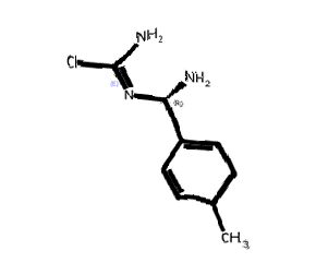 CC1C=CC([C@H](N)/N=C(\N)Cl)=CC1